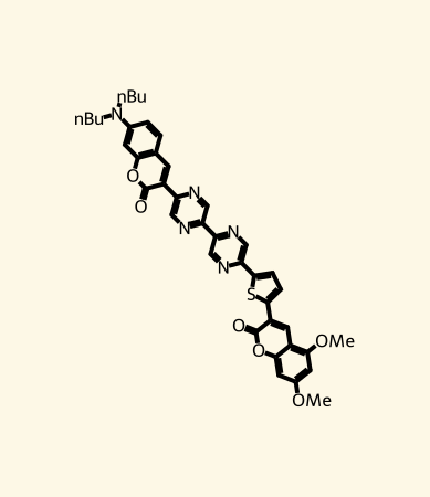 CCCCN(CCCC)c1ccc2cc(-c3cnc(-c4cnc(-c5ccc(-c6cc7c(OC)cc(OC)cc7oc6=O)s5)cn4)cn3)c(=O)oc2c1